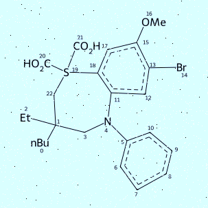 CCCCC1(CC)CN(c2ccccc2)c2cc(Br)c(OC)cc2S(C(=O)O)(C(=O)O)C1